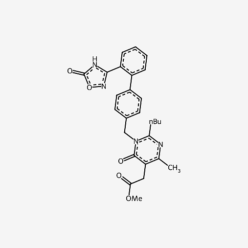 CCCCc1nc(C)c(CC(=O)OC)c(=O)n1Cc1ccc(-c2ccccc2-c2noc(=O)[nH]2)cc1